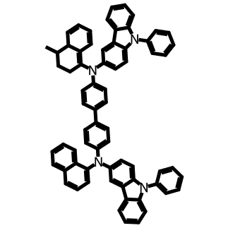 CC1CCC(N(c2ccc(-c3ccc(N(c4ccc5c(c4)c4ccccc4n5-c4ccccc4)c4cccc5ccccc45)cc3)cc2)c2ccc3c(c2)c2ccccc2n3-c2ccccc2)=C2C=CC=CC21